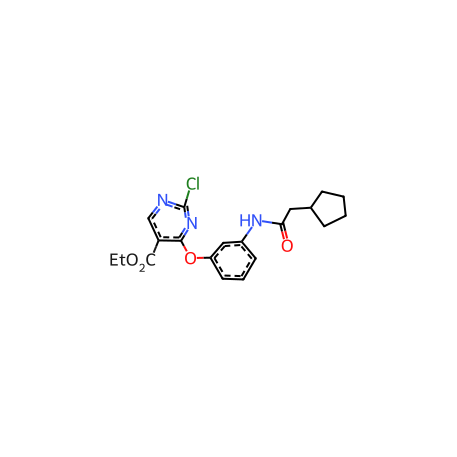 CCOC(=O)c1cnc(Cl)nc1Oc1cccc(NC(=O)CC2CCCC2)c1